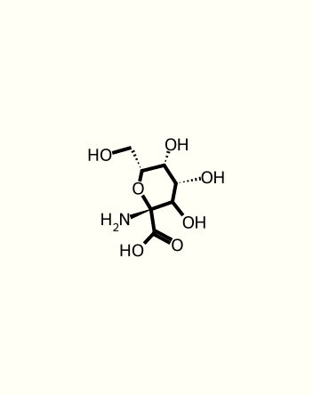 N[C@@]1(C(=O)O)O[C@H](CO)[C@H](O)[C@H](O)C1O